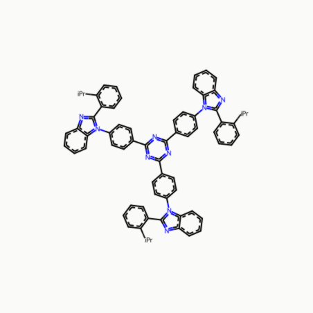 CC(C)c1ccccc1-c1nc2ccccc2n1-c1ccc(-c2nc(-c3ccc(-n4c(-c5ccccc5C(C)C)nc5ccccc54)cc3)nc(-c3ccc(-n4c(-c5ccccc5C(C)C)nc5ccccc54)cc3)n2)cc1